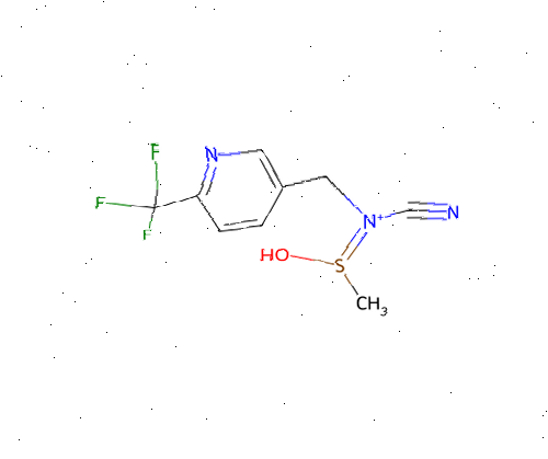 CS(O)=[N+](C#N)Cc1ccc(C(F)(F)F)nc1